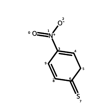 O=[N+]([O-])C1=CCC(=S)[C]=C1